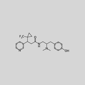 CN(C)C(CNC(=O)CC(c1cccnc1)C1(C(F)(F)F)CC1)Cc1ccc(O)cc1